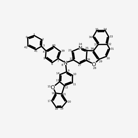 c1ccc(-c2ccc(N(c3ccc4c(c3)oc3ccccc34)c3cnc4c(c3)oc3ccc5ccccc5c34)cc2)cc1